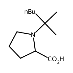 CCCCC(C)(C)N1CCCC1C(=O)O